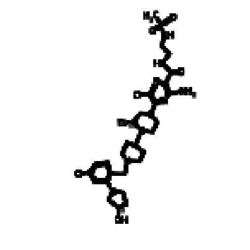 CC[C@H]1CN(c2nc(N)c(C(=O)NCCNS(C)(=O)=O)nc2Cl)CCN1C1CCN(Cc2ccc(Cl)cc2N2CC[C@@H](O)C2)CC1